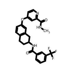 CNC(=O)c1cc(Oc2ccc3c(c2)CC(NC(=O)c2cccc(C(F)(F)F)c2)CC3)ccn1